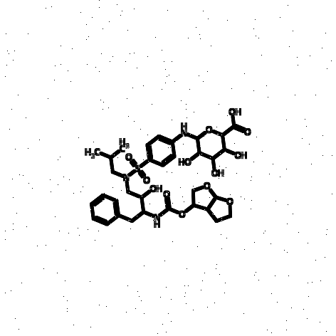 CC(C)CN(CC(O)C(Cc1ccccc1)NC(=O)OC1COC2OCCC12)S(=O)(=O)c1ccc(NC2OC(C(=O)O)C(O)C(O)C2O)cc1